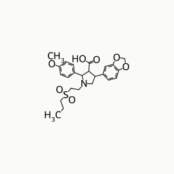 CCCS(=O)(=O)CCN1CC(c2ccc3c(c2)OCO3)C(C(=O)O)C1c1ccc(OC)cc1